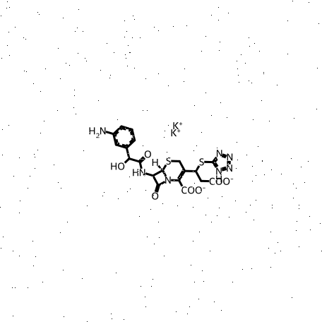 Nc1cccc(C(O)C(=O)NC2C(=O)N3C(C(=O)[O-])=C(C(CC(=O)[O-])Sc4nnn[nH]4)CS[C@@H]23)c1.[K+].[K+]